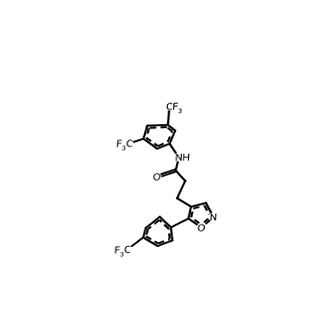 O=C(CCc1cnoc1-c1ccc(C(F)(F)F)cc1)Nc1cc(C(F)(F)F)cc(C(F)(F)F)c1